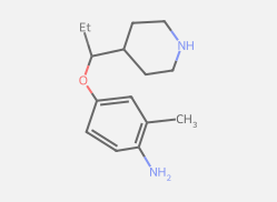 CCC(Oc1ccc(N)c(C)c1)C1CCNCC1